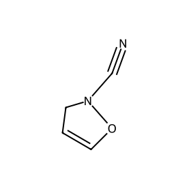 N#CN1CC=CO1